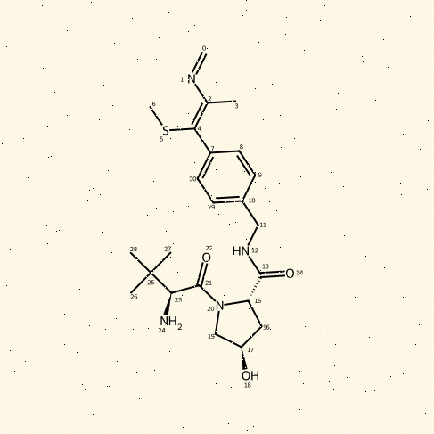 C=N/C(C)=C(\SC)c1ccc(CNC(=O)[C@@H]2C[C@@H](O)CN2C(=O)[C@@H](N)C(C)(C)C)cc1